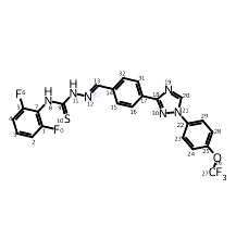 Fc1cccc(F)c1NC(=S)N/N=C/c1ccc(-c2ncn(-c3ccc(OC(F)(F)F)cc3)n2)cc1